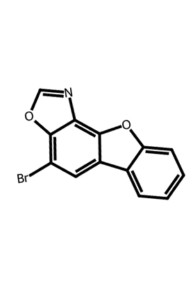 Brc1cc2c3ccccc3oc2c2ncoc12